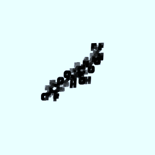 CN(C(=O)c1cc(C(F)F)no1)C12CCC(NC(=O)COc3ccc(Cl)c(F)c3)(CC1)C(O)C2